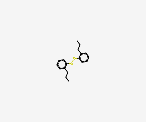 CCCc1ccccc1SSc1ccccc1CCC